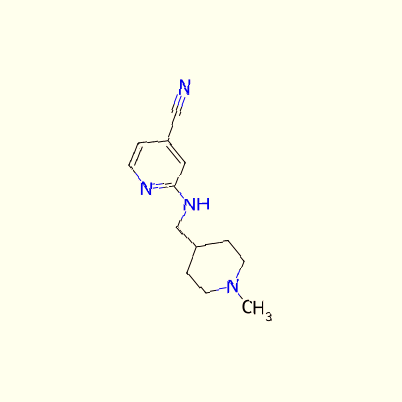 CN1CCC(CNc2cc(C#N)ccn2)CC1